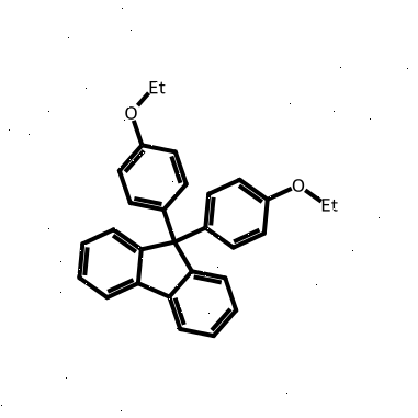 CCOc1ccc(C2(c3ccc(OCC)cc3)c3ccccc3-c3ccccc32)cc1